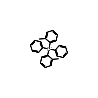 Cc1ccccc1[B-](c1ccccc1)(c1ccccc1)c1ccccc1C